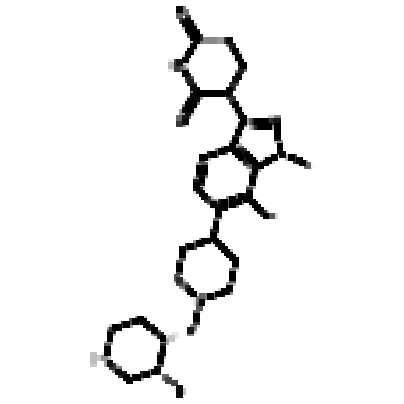 Cn1nc(C2CCC(=O)NC2=O)c2ccc(C3CCN(C[C@H]4CCNC[C@H]4F)CC3)c(F)c21